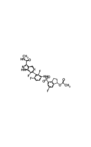 CNC(=O)c1n[nH]c2c(F)c(-c3c(F)ccc(NS(=O)(=O)c4cc(F)cc5c4CCC5OC(C)=O)c3F)ncc12